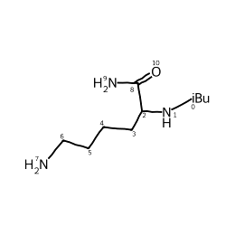 CCC(C)NC(CCCCN)C(N)=O